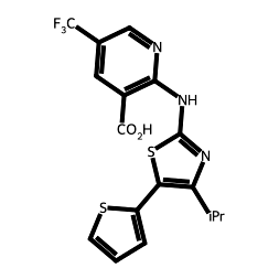 CC(C)c1nc(Nc2ncc(C(F)(F)F)cc2C(=O)O)sc1-c1cccs1